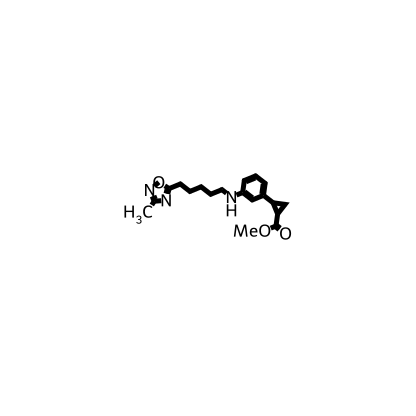 COC(=O)C1CC1c1cccc(NCCCCCc2nc(C)no2)c1